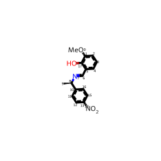 COc1cccc(C=N[C@H](C)c2ccc([N+](=O)[O-])cc2)c1O